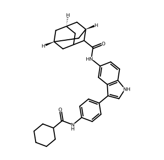 O=C(Nc1ccc(-c2c[nH]c3ccc(NC(=O)C4C5C[C@H]6C[C@@H](C5)C[C@@H]4C6)cc23)cc1)C1CCCCC1